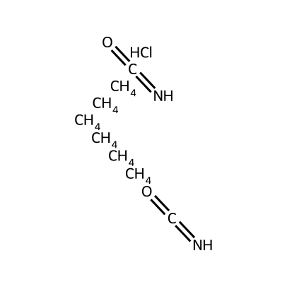 C.C.C.C.C.C.Cl.N=C=O.N=C=O